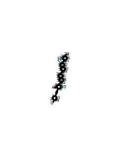 Cc1ccc(C#Cc2cc(F)c(-c3ccc4cc(-c5ccc6cc(-c7ccc(C)cc7F)ccc6c5)ccc4c3)cc2C)cc1